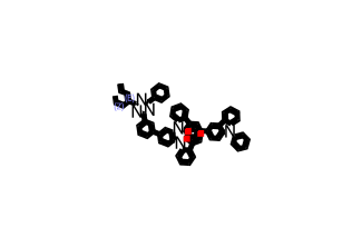 C=C/C=C(\C=C/C)c1nc(C2=CCCCC2)nc(-c2cccc(-c3ccc(-n4c5ccccc5c5ccccc54)c(-n4c5ccccc5c5cc(-c6ccc7c(c6)c6ccccc6n7-c6ccccc6)ccc54)c3)c2)n1